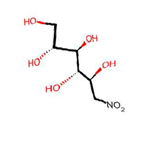 O=[N+]([O-])C[C@H](O)[C@H](O)[C@H](O)[C@H](O)CO